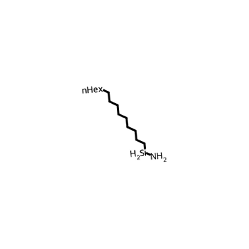 CCCCCCCCCCCCCCC[SiH2]N